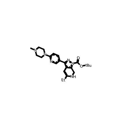 CCC1=Cc2c(-c3ccc(N4CCN(C)CC4)nc3)nn(C(=O)OC(C)(C)C)c2CN1